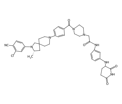 C[C@H]1CC2(CCN(c3ccc(C(=O)N4CCN(CC(=O)Nc5cccc(NC6CCC(=O)NC6=O)c5)CC4)cc3)CC2)CN1c1ccc(C#N)c(Cl)c1